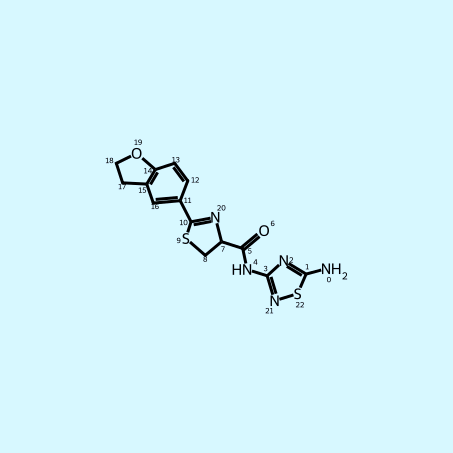 Nc1nc(NC(=O)C2CSC(c3ccc4c(c3)CCO4)=N2)ns1